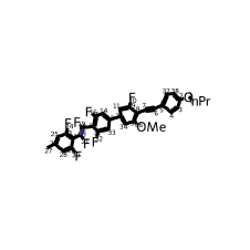 CCCOc1ccc(C#Cc2c(F)cc(-c3cc(F)c(/C(F)=C(\F)c4c(F)cc(C)cc4F)c(F)c3)cc2OC)cc1